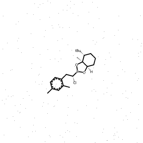 Cc1ccc(C[C@@H](Cl)B2O[C@@H]3CCC[C@@H](C(C)(C)C)[C@]3(C)O2)c(C)c1